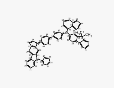 CC1(C)c2ccccc2-c2ccc(N(c3ccc(-c4ccc(-n5ccc6cc7c8ccccc8n(-c8ccccc8)c7cc65)cc4)cc3)c3cccc4ccccc34)cc21